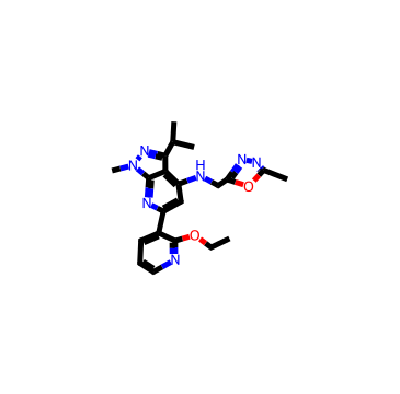 CCOc1ncccc1-c1cc(NCc2nnc(C)o2)c2c(C(C)C)nn(C)c2n1